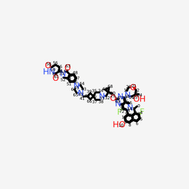 CCc1c(F)ccc2cc(O)cc(-c3ncc4c(N5CCOCC(C)(O)C5)nc(OCC5(CN6CCC7(CC6)CC(CN6CCN(c8ccc9c(c8)CN([C@@H]8CCC(=O)NC8=O)C9=O)CC6)C7)CC5)nc4c3F)c12